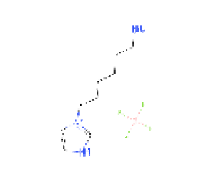 F[B-](F)(F)F.NCCCCCC[n+]1cc[nH]c1